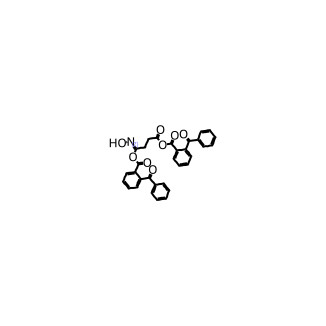 O=C(CC/C(=N/O)OC(=O)c1ccccc1C(=O)c1ccccc1)OC(=O)c1ccccc1C(=O)c1ccccc1